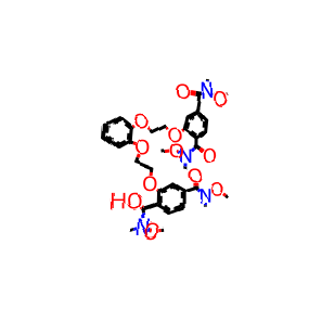 CON(C)C(=O)c1ccc(C(=O)N(C)OC)c(OCCOc2ccccc2OCCOc2cc(C(=O)N(C)OC)ccc2C(O)N(C)OC)c1